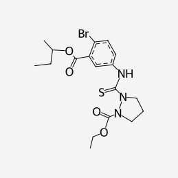 CCOC(=O)N1CCCN1C(=S)Nc1ccc(Br)c(C(=O)OC(C)CC)c1